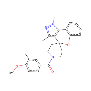 Cc1cc(C(=O)N2CCC3(CC2)Oc2ccccc2-c2c3c(C)nn2C)ccc1OC(C)C